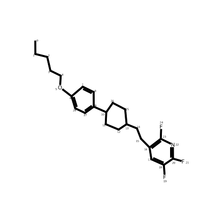 CCCCCOc1ccc(C2CCC(CCc3cc(F)c(F)nc3F)CC2)cc1